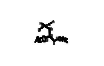 CC(=O)OCC(C[N+](C)(C)C)OC(C)=O